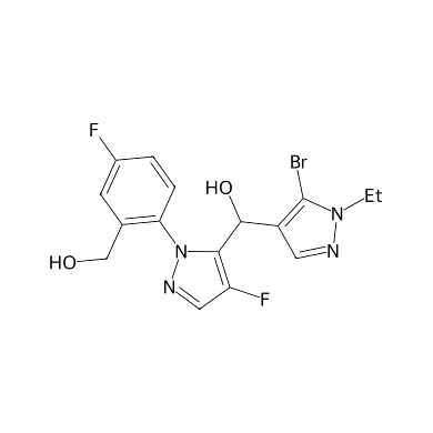 CCn1ncc(C(O)c2c(F)cnn2-c2ccc(F)cc2CO)c1Br